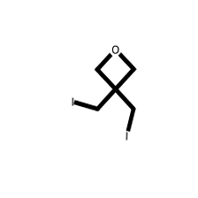 ICC1(CI)COC1